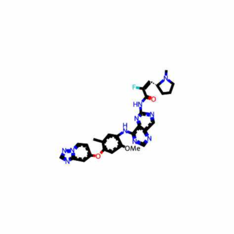 COc1cc(Oc2ccn3ncnc3c2)c(C)cc1Nc1ncnc2cnc(NC(=O)/C(F)=C\[C@H]3CCCN3C)nc12